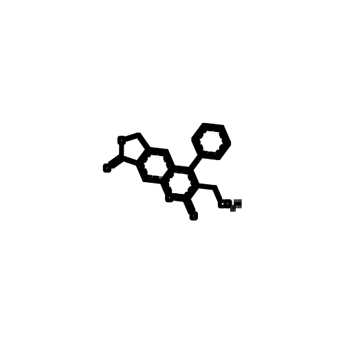 O=C(O)Cc1c(-c2ccccc2)c2cc3c(cc2oc1=O)C(=O)OC3